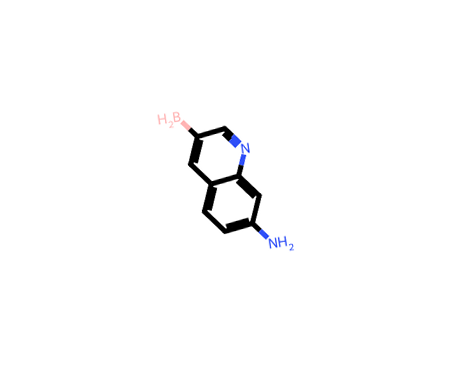 Bc1cnc2cc(N)ccc2c1